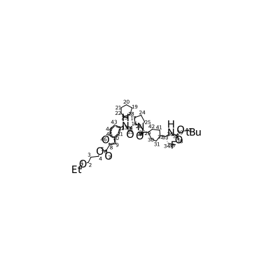 CCOCCCOC(=O)c1cc2cc(NC(=O)[C@@H]3[C@H](C4CCCCC4)CCN3C(=O)C3CCC([C@@H](CF)NC(=O)OC(C)(C)C)CC3)ccc2o1